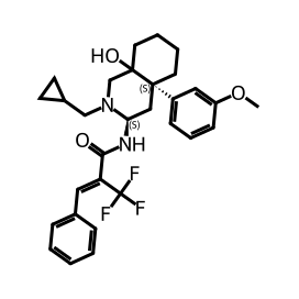 COc1cccc([C@@]23CCCCC2(O)CN(CC2CC2)[C@H](NC(=O)C(=Cc2ccccc2)C(F)(F)F)C3)c1